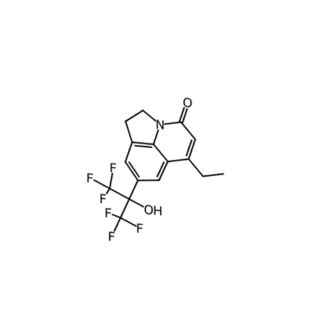 CCc1cc(=O)n2c3c(cc(C(O)(C(F)(F)F)C(F)(F)F)cc13)CC2